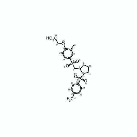 Cc1cc(S(=O)(=O)CC2CCCN2S(=O)(=O)c2ccc(C(F)(F)F)cc2)ccc1OCC(=O)O